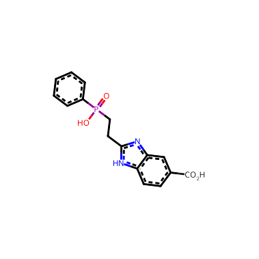 O=C(O)c1ccc2[nH]c(CCP(=O)(O)c3ccccc3)nc2c1